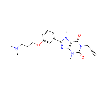 C#CCn1c(=O)c2c(nc(-c3cccc(OCCCN(C)C)c3)n2C)n(C)c1=O